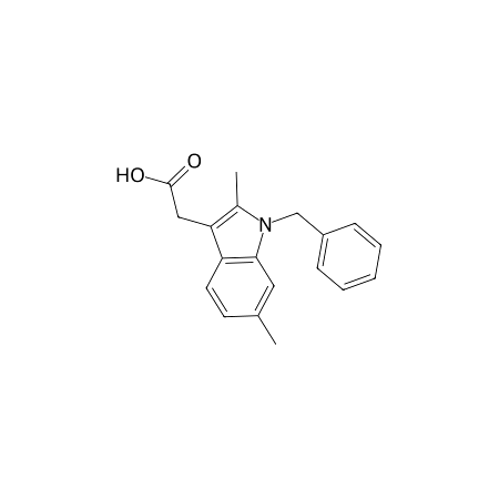 Cc1ccc2c(CC(=O)O)c(C)n(Cc3ccccc3)c2c1